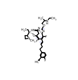 C#Cc1cc(CC/C=C/C(C(/F)=C(\CC(=N)N)OC[C@@H](CC)C2CCN2C)=C(\F)C/N=C/OCC(C)NCC)ccc1F